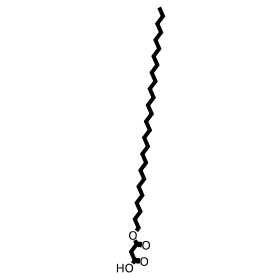 CCCCCCCCCCCCCCCCCCCCCCCCCCCCOC(=O)CC(=O)O